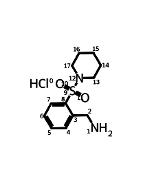 Cl.NCc1ccccc1S(=O)(=O)N1CCCCC1